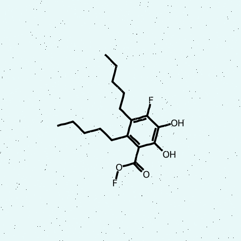 CCCCCc1c(F)c(O)c(O)c(C(=O)OF)c1CCCCC